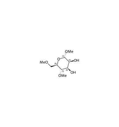 COC[C@H]1O[C@H](OC)[C@@H](O)[C@@H](O)[C@@H]1OC